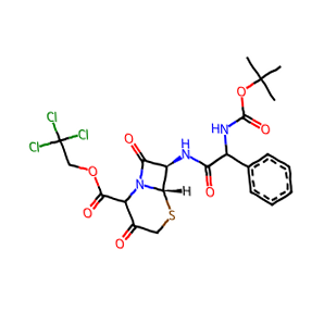 CC(C)(C)OC(=O)NC(C(=O)N[C@@H]1C(=O)N2C(C(=O)OCC(Cl)(Cl)Cl)C(=O)CS[C@@H]12)c1ccccc1